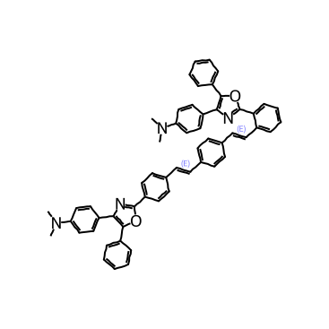 CN(C)c1ccc(-c2nc(-c3ccc(/C=C/c4ccc(/C=C/c5ccccc5-c5nc(-c6ccc(N(C)C)cc6)c(-c6ccccc6)o5)cc4)cc3)oc2-c2ccccc2)cc1